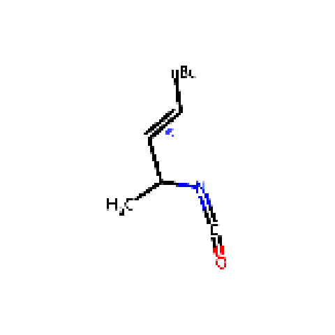 CCCC/C=C/C(C)N=C=O